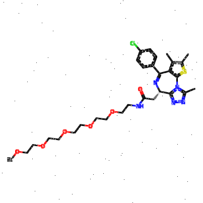 CCOCCOCCOCCOCCOCCNC(=O)C[C@@H]1N=C(c2ccc(Cl)cc2)c2c(sc(C)c2C)-n2c(C)nnc21